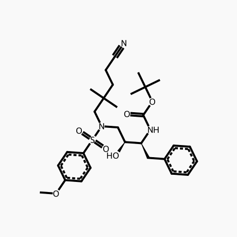 COc1ccc(S(=O)(=O)N(C[C@H](O)[C@H](Cc2ccccc2)NC(=O)OC(C)(C)C)CC(C)(C)CCC#N)cc1